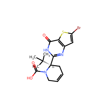 CC(C)(C)[C@]1(c2nc3cc(Br)sc3c(=O)[nH]2)CC=CCN1C(=O)O